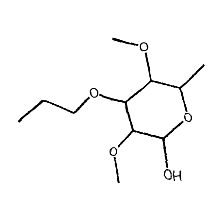 CCCOC1C(OC)C(C)OC(O)C1OC